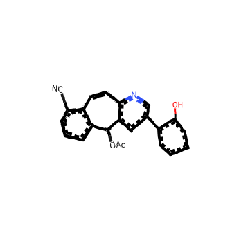 CC(=O)OC1c2cc(-c3ccccc3O)cnc2C=Cc2c(C#N)cccc21